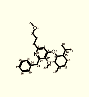 COCCCc1cc(OC2CC(C)CCC2C(C)C)c(OC)c(Cc2ccccc2)n1